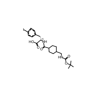 CC(C)(C)OC(=O)NCC1CCC(C(=O)N[C@@H](Cc2ccc(I)cc2)C(=O)O)CC1